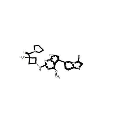 COc1nc(N[C@H]2C[C@@](C)(C(=O)N3CCCC3)C2)nc2[nH]cc(-c3ccc4ncc(F)n4c3)c12